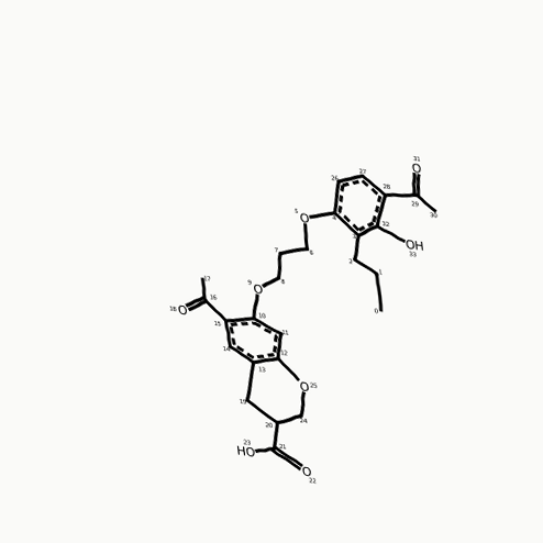 CCCc1c(OCCCOc2cc3c(cc2C(C)=O)CC(C(=O)O)CO3)ccc(C(C)=O)c1O